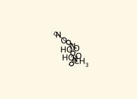 CN(Cc1ccccc1)C(=O)c1cc(C(=O)N2Cc3ccc(OCCCN4CCCC4)cc3C2)c(O)cc1O